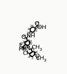 COc1ccc(Cl)c(C(C)Nc2ccc(C(=O)NC[C@H]3CC[C@H](C(=O)O)CC3)cc2C(F)(F)F)c1